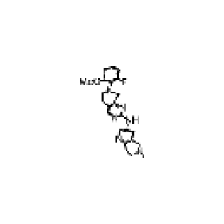 COc1cccc(F)c1N1CCc2cnc(Nc3cnc4c(c3)CN(C)CC4)nc2C1